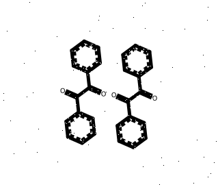 O=C(C(=O)c1ccccc1)c1ccccc1.O=C(C(=O)c1ccccc1)c1ccccc1